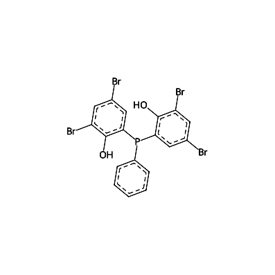 Oc1c(Br)cc(Br)cc1P(c1ccccc1)c1cc(Br)cc(Br)c1O